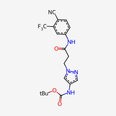 CC(C)(C)OC(=O)Nc1cnn(CCC(=O)Nc2ccc(C#N)c(C(F)(F)F)c2)c1